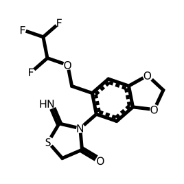 N=C1SCC(=O)N1c1cc2c(cc1COC(F)C(F)F)OCO2